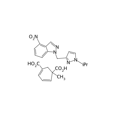 CC(C)n1ccc(Cn2ncc3c([N+](=O)[O-])cccc32)n1.CC1(C(=O)O)C=CC=C(C(=O)O)C1